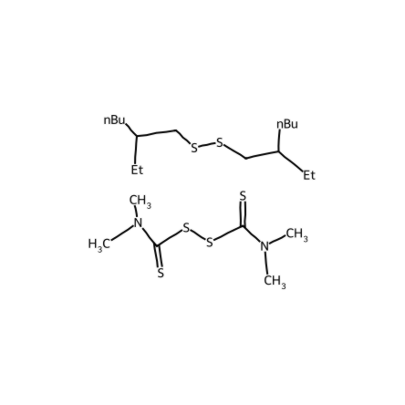 CCCCC(CC)CSSCC(CC)CCCC.CN(C)C(=S)SSC(=S)N(C)C